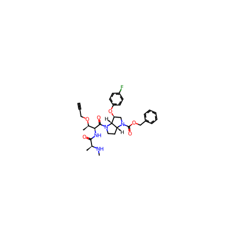 C#CCO[C@H](C)[C@H](NC(=O)[C@H](C)NC)C(=O)N1CC[C@@H]2[C@H]1[C@@H](Oc1ccc(F)cc1)CN2C(=O)OCc1ccccc1